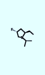 CC[C@@H]1C[C@@H](F)CN1C(C)C